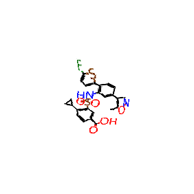 Cc1oncc1-c1ccc(-c2ccc(F)s2)c(NS(=O)(=O)c2cc(C(=O)O)ccc2C2CC2)c1